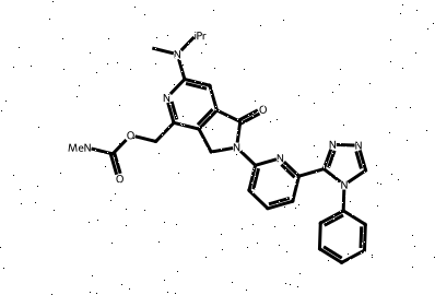 CNC(=O)OCc1nc(N(C)C(C)C)cc2c1CN(c1cccc(-c3nncn3-c3ccccc3)n1)C2=O